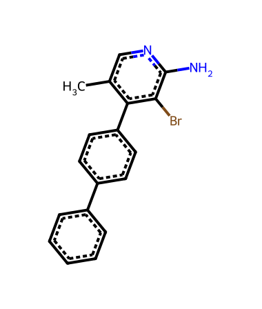 Cc1cnc(N)c(Br)c1-c1ccc(-c2ccccc2)cc1